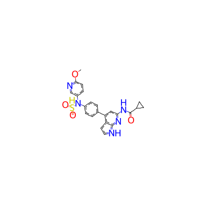 COc1ccc(N(c2ccc(-c3cc(NC(=O)C4CC4)nc4[nH]ccc34)cc2)[SH](=O)=O)cn1